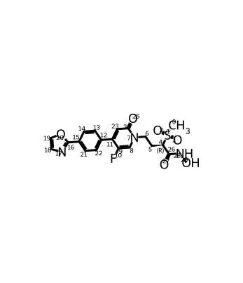 CS(=O)(=O)[C@H](CCn1cc(F)c(-c2ccc(-c3ncco3)cc2)cc1=O)C(=O)NO